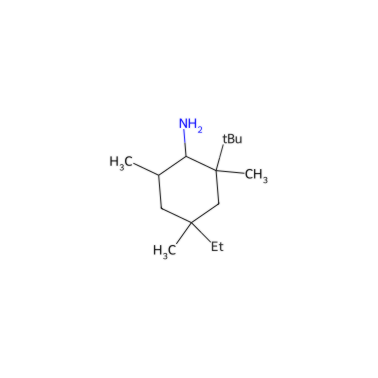 CCC1(C)CC(C)C(N)C(C)(C(C)(C)C)C1